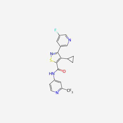 O=C(Nc1ccnc(C(F)(F)F)c1)c1snc(-c2cncc(F)c2)c1C1CC1